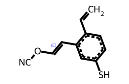 C=Cc1ccc(S)cc1/C=C/OC#N